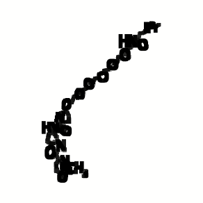 CC(C)CCC(=O)NCCOCCOCCOCCOCCOCCOc1ccc(C(=O)Nc2ccc3oc(-c4ccc(=O)n(C)n4)nc3c2)nc1